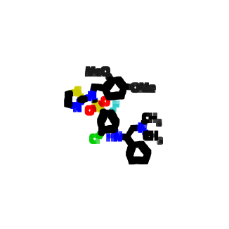 COc1ccc(CN(c2nccs2)S(=O)(=O)c2cc(Cl)c(N[C@@H](CN(C)C)c3ccccc3)cc2F)c(OC)c1